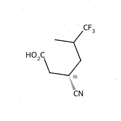 CC(C[C@H](C#N)CC(=O)O)C(F)(F)F